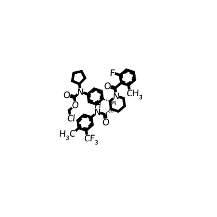 Cc1ccc(NC(=O)[C@H]2CCCN(C(=O)c3c(C)cccc3F)[C@H]2c2ccc(N(C(=O)OCCl)C3CCCC3)cc2)cc1C(F)(F)F